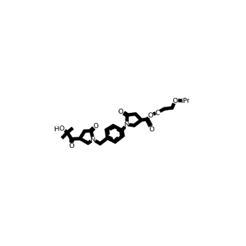 CC(C)OCCCOC(=O)C1CC(=O)N(c2ccc(CN3CC(C(=O)C(C)(C)O)CC3=O)cc2)C1